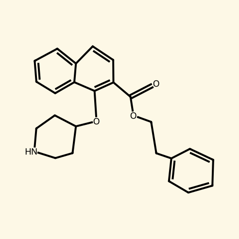 O=C(OCCc1ccccc1)c1ccc2ccccc2c1OC1CCNCC1